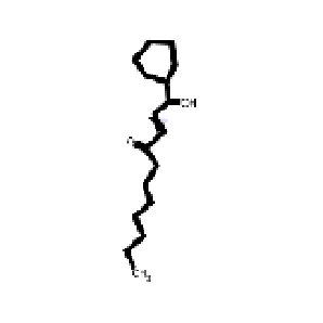 CCCCCCCC(=O)/C=C/C(O)C1CCCCC1